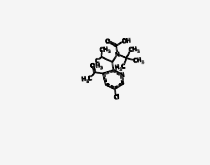 CC(=O)c1cc(Cl)cnc1C(C(C)C)N(C(=O)O)C(C)(C)C